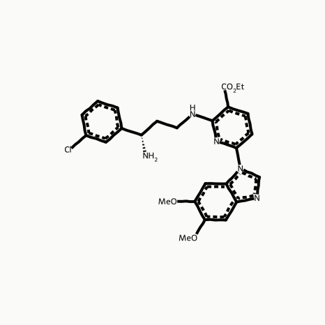 CCOC(=O)c1ccc(-n2cnc3cc(OC)c(OC)cc32)nc1NCC[C@H](N)c1cccc(Cl)c1